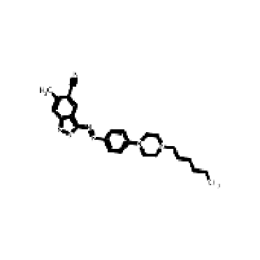 CCCCCCN1CCN(c2ccc(N=Nc3snc4cc(C)c(C#N)cc34)cc2)CC1